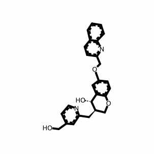 OCc1ccnc(C[C@@H]2COc3ccc(OCc4ccc5ccccc5n4)cc3[C@H]2O)c1